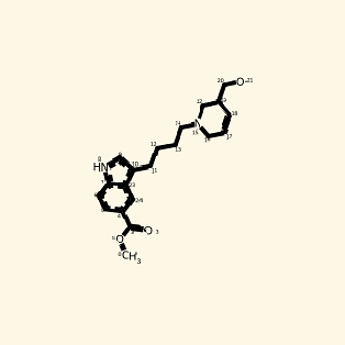 COC(=O)c1ccc2[nH]cc(CCCCN3CC=CC(C[O])C3)c2c1